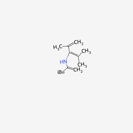 C=C(C)C(NC(=C)C(C)CC)=C(C)C